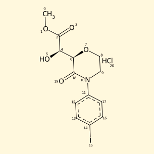 COC(=O)[C@H](O)[C@H]1OCCN(c2ccc(I)cc2)C1=O.Cl